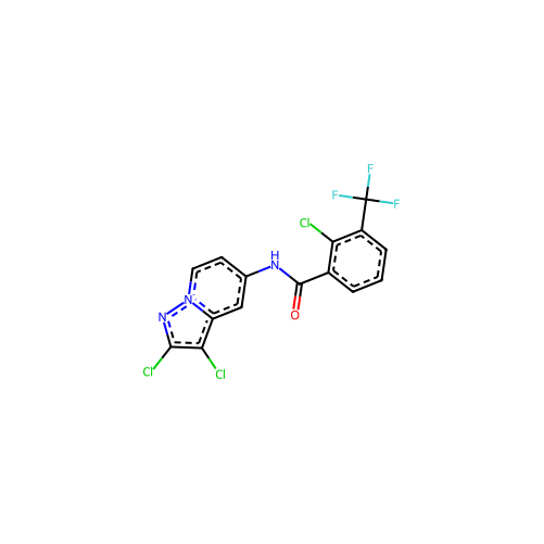 O=C(Nc1ccn2nc(Cl)c(Cl)c2c1)c1cccc(C(F)(F)F)c1Cl